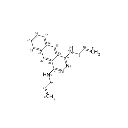 C=CCNc1nnc(NCC=C)c2cc3ccccc3cc12